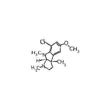 COc1cc(Cl)c2c(c1)[C@]1(C)CCN(C)[C@@H]1N2C